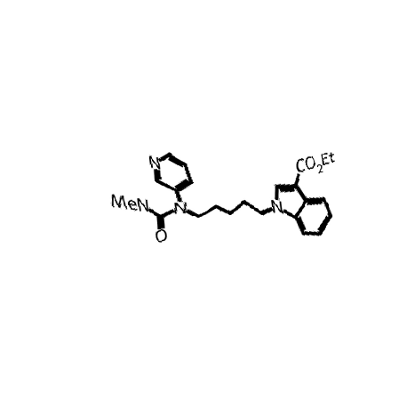 CCOC(=O)c1cn(CCCCCN(C(=O)NC)c2cccnc2)c2ccccc12